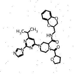 CC(C)c1cc(N2CCN(C(=O)C3CCCO3)C(C(=O)NCC3COc4ccccc4O3)C2)nc(-n2ccnc2)n1